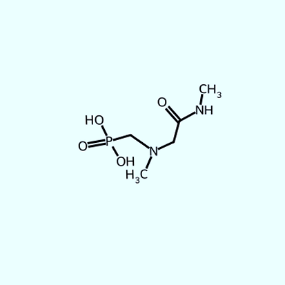 CNC(=O)CN(C)CP(=O)(O)O